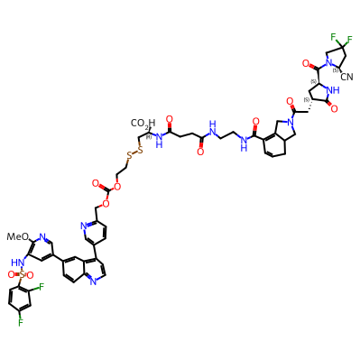 COc1ncc(-c2ccc3nccc(-c4ccc(COC(=O)OCCSSC[C@H](NC(=O)CCC(=O)NCCNC(=O)C5=C6CN(C(=O)C[C@@H]7C[C@@H](C(=O)N8CC(F)(F)C[C@H]8C#N)NC7=O)CC6CC=C5)C(=O)O)nc4)c3c2)cc1NS(=O)(=O)c1ccc(F)cc1F